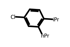 [CH2]CCc1cc(Cl)ccc1C(C)C